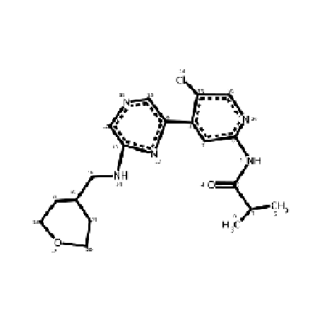 CC(C)C(=O)Nc1cc(-c2cncc(NCC3CCOCC3)n2)c(Cl)cn1